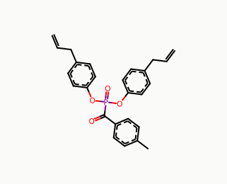 C=CCc1ccc(OP(=O)(Oc2ccc(CC=C)cc2)C(=O)c2ccc(C)cc2)cc1